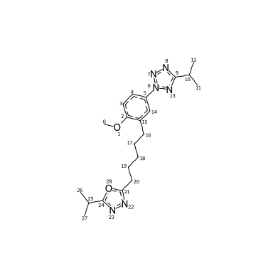 COc1ccc(-n2nnc(C(C)C)n2)cc1CCCCCc1nnc(C(C)C)o1